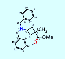 COC(=O)C1(C)CC(N(Cc2ccccc2)Cc2ccccc2)C1